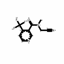 CN(CC#N)C(=O)c1cnccc1C(F)(F)F